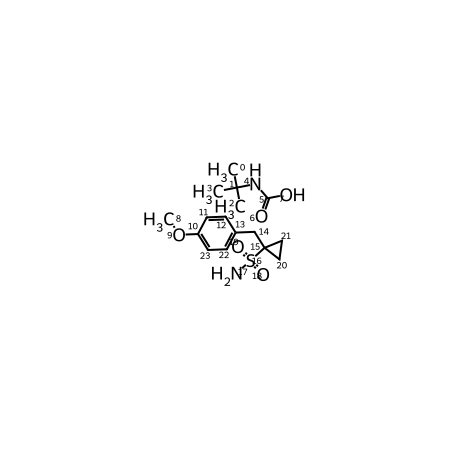 CC(C)(C)NC(=O)O.COc1ccc(CC2(S(N)(=O)=O)CC2)cc1